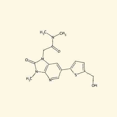 CN(C)C(=O)Cn1c(=O)n(C)c2ncc(-c3ccc(CO)s3)cc21